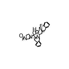 CC(=O)N1CCN(C(=O)[C@@H]2Cc3ccccc3CN2C(=O)C[C@H](N)Cc2ccccc2F)CC1